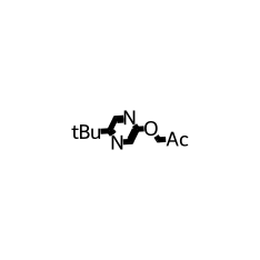 CC(=O)COc1cnc(C(C)(C)C)cn1